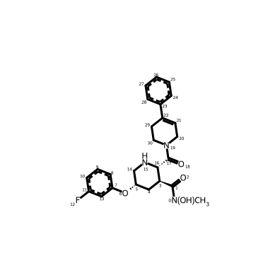 CN(O)C(=O)[C@H]1C[C@H](Oc2cccc(F)c2)CN[C@@H]1C(=O)N1CC=C(c2ccccc2)CC1